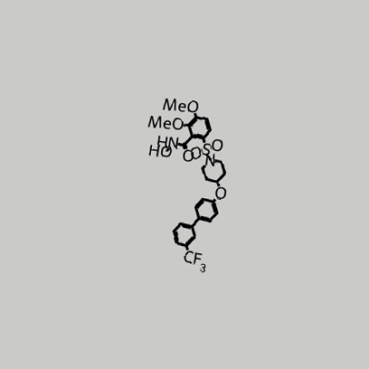 COc1ccc(S(=O)(=O)N2CCC(Oc3ccc(-c4cccc(C(F)(F)F)c4)cc3)CC2)c(C(=O)NO)c1OC